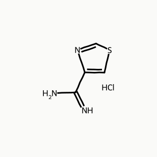 Cl.N=C(N)c1cscn1